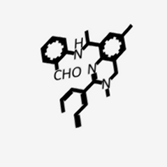 C=C/C=C(\C=C/C)C1=Nc2c(cc(C)cc2C(C)Nc2ccccc2C=O)CN1C